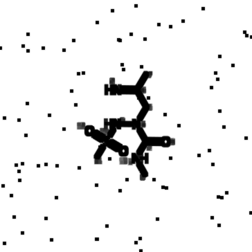 CNC(=O)N(CC(C)=N)NS(C)(=O)=O